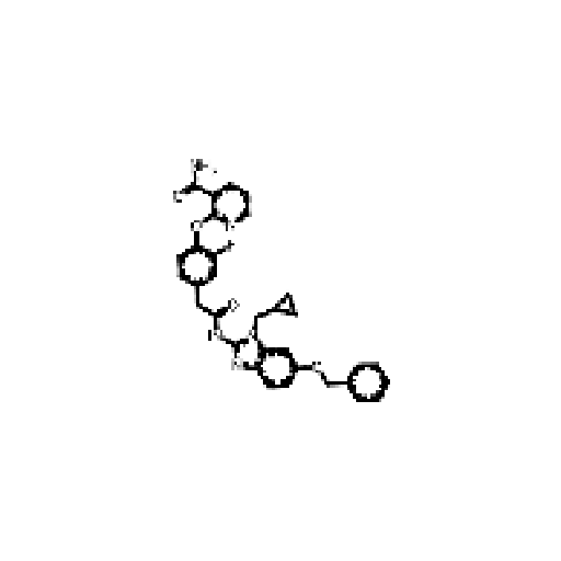 NC(=O)c1cccnc1Oc1ccc(CC(=O)Nc2nc3ccc(OCc4ccccc4)cc3n2CC2CC2)cc1F